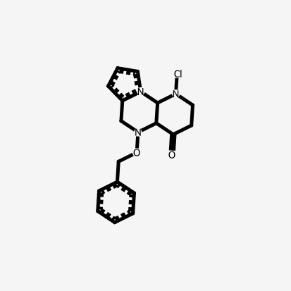 O=C1CCN(Cl)C2C1N(OCc1ccccc1)Cc1cccn12